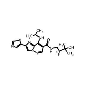 CC(C)Nc1c(C(=O)NC[C@@H](F)C(C)(C)O)cnn2cc(-c3cncs3)nc12